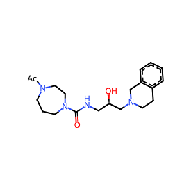 CC(=O)N1CCCN(C(=O)NC[C@@H](O)CN2CCc3ccccc3C2)CC1